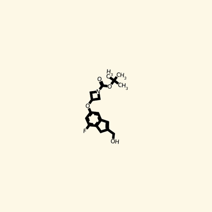 CC(C)(C)OC(=O)N1CC(Oc2cc(F)c3c(c2)C=C(CO)C3)C1